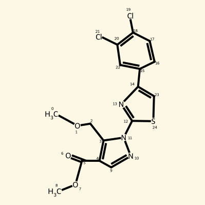 COCc1c(C(=O)OC)cnn1-c1nc(-c2ccc(Cl)c(Cl)c2)cs1